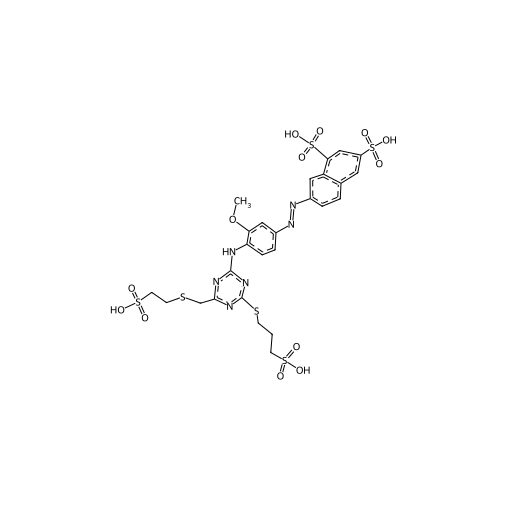 COc1cc(/N=N/c2ccc3cc(S(=O)(=O)O)cc(S(=O)(=O)O)c3c2)ccc1Nc1nc(CSCCS(=O)(=O)O)nc(SCCCS(=O)(=O)O)n1